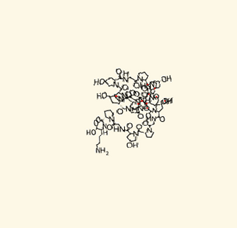 NCCCC[C@H](NC(=O)[C@@H]1CCCN1C(=O)CNC(=O)[C@@H]1C[C@@H](O)CN1C(=O)[C@@H]1CCCN1C(=O)CNC(=O)[C@@H]1C[C@@H](O)CN1C(=O)[C@@H]1CCCN1C(=O)CNC(=O)[C@@H]1C[C@@H](O)CN1C(=O)[C@@H]1CCCN1C(=O)CNC(=O)[C@@H]1C[C@@H](O)CN1C(=O)[C@@H]1CCCN1C(=O)CNC(=O)[C@@H]1C[C@@H](O)CN1C(=O)[C@@H]1CCCN1C(=O)CNC(=O)[C@@H]1C[C@@H](O)CN1C(=O)[C@@H]1CCCN1)C(=O)O